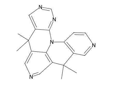 CC1(C)c2cnccc2N2c3ncncc3C(C)(C)c3cncc1c32